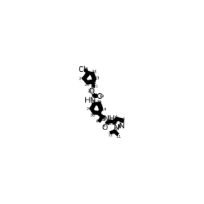 CC(NC(=O)c1ccnn1C(C)C)c1ccc(NC(=O)OCc2ccc(Cl)cc2)cc1